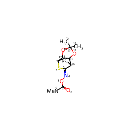 CNC(=O)ON=C1SC2CCC1C1OC(C)(C)OC21